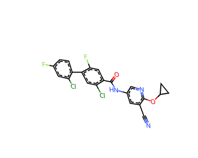 N#Cc1cc(NC(=O)c2cc(F)c(-c3ccc(F)cc3Cl)cc2Cl)cnc1OC1CC1